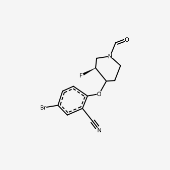 N#Cc1cc(Br)ccc1OC1CCN(C=O)C[C@@H]1F